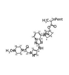 CCCCCC(C)C(=O)OC12CC(CN(c3cccn4nc(Nc5cnn(CC(=O)N6CCN(C)CC6)c5)nc34)C1)N2